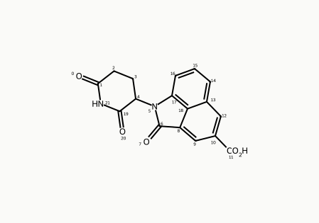 O=C1CCC(N2C(=O)c3cc(C(=O)O)cc4cccc2c34)C(=O)N1